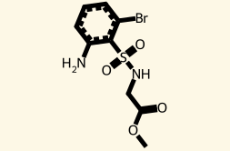 COC(=O)CNS(=O)(=O)c1c(N)cccc1Br